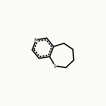 c1cc2c(cn1)CCCCS2